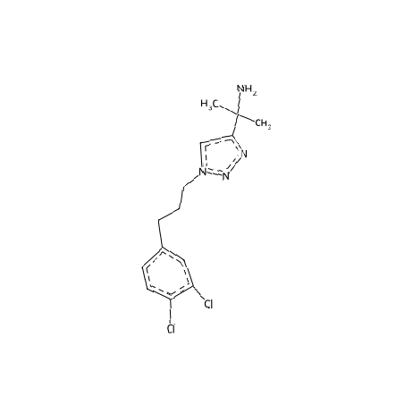 CC(C)(N)c1cn(CCCc2ccc(Cl)c(Cl)c2)nn1